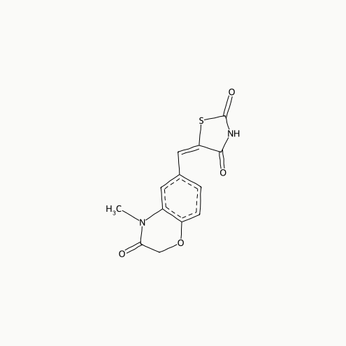 CN1C(=O)COc2ccc(/C=C3/SC(=O)NC3=O)cc21